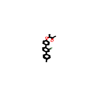 CC(=O)C(C)Oc1ccc(-c2ccc(-c3ccc(C)cc3)cc2F)cc1